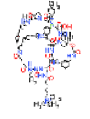 Cc1ccc(C[C@@H]2NC(=O)[C@H]([C@@H](C)O)NC(=O)[C@@H]3[C@@H]4CCN3C(=O)[C@@H]3Cc5cn(c6ccc(F)cc56)CCCCCCN(Cc5ccc(cc5)CCNC(=O)[C@]5(C)CCCN5C2=O)C(=O)CCC(=O)N[C@@H](C)C(=O)N[C@H](CNC(=O)CCCCC[N+](C)(C)C)C(=O)N[C@@H](Cc2cccc(c2)CNC(=O)CO4)C(=O)N3)cc1